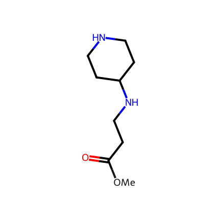 COC(=O)CCNC1CCNCC1